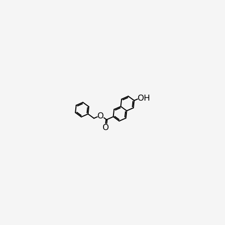 O=C(OCc1ccccc1)c1ccc2cc(O)ccc2c1